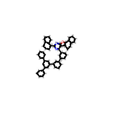 c1ccc(-c2cc(-c3ccccc3)cc(-c3cccc(-c4cccc(-c5nc(-c6cccc7ccccc67)nc6oc7c8ccccc8ccc7c56)c4)c3)c2)cc1